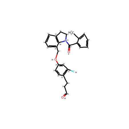 Cc1ccccc1C(=O)N1CCc2cccc(COc3ccc(CCC=O)c(F)c3)c21